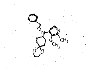 COc1c(N(OCc2ccccc2)C2CCC3(CC2)OCCO3)ccnc1C